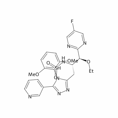 CCO[C@H](c1ncc(F)cn1)[C@H](Cc1nnc(-c2cccnc2)n1-c1c(OC)cccc1OC)N[SH](=O)=O